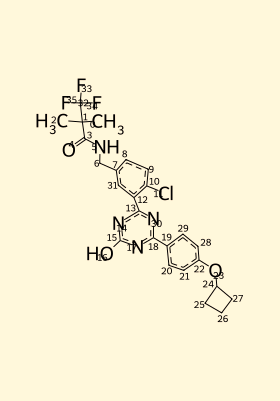 CC(C)(C(=O)NCc1ccc(Cl)c(-c2nc(O)nc(-c3ccc(OC4CCC4)cc3)n2)c1)C(F)(F)F